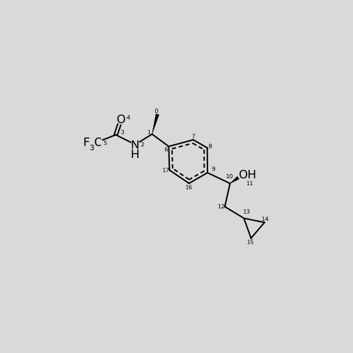 C[C@H](NC(=O)C(F)(F)F)c1ccc([C@@H](O)CC2CC2)cc1